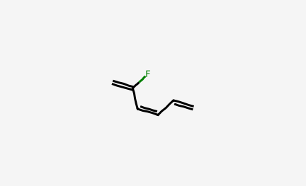 C=C/C=C\C(=C)F